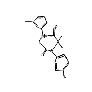 Cc1cccc(N2CC(=O)N(c3ccc(F)cc3)C(C)(C)C2=O)c1